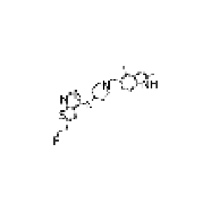 Cc1cc2c(C)c(CN3CCC(Nc4ncnc5sc(CCF)cc45)CC3)ccc2[nH]1